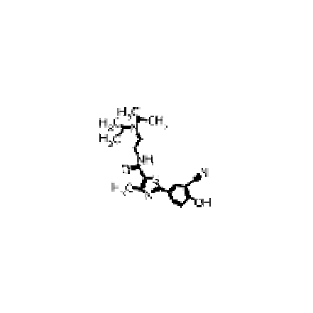 Cc1nc(-c2ccc(O)c(C#N)c2)sc1C(=O)NCCN(C(C)C)C(C)C